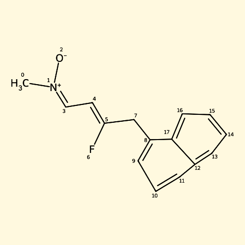 C[N+]([O-])=CC=C(F)Cc1cccc2ccccc12